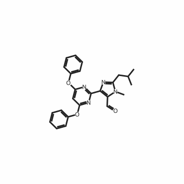 CC(C)Cc1nc(-c2nc(Oc3ccccc3)cc(Oc3ccccc3)n2)c(C=O)n1C